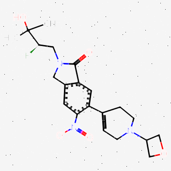 CC(C)(O)[C@H](F)CN1Cc2cc([N+](=O)[O-])c(C3=CCN(C4COC4)CC3)cc2C1=O